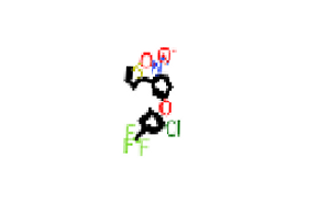 O=[N+]([O-])c1ccc(Oc2ccc(C(F)(F)F)cc2Cl)cc1-c1cccs1